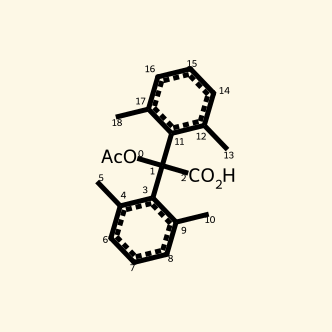 CC(=O)OC(C(=O)O)(c1c(C)cccc1C)c1c(C)cccc1C